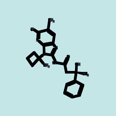 Cc1cc2nc(NC(=O)C[C@](C)(O)c3ccccc3)n(C3(C)CCC3)c2nc1Cl